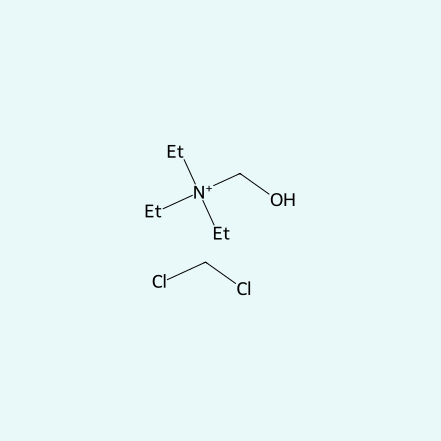 CC[N+](CC)(CC)CO.ClCCl